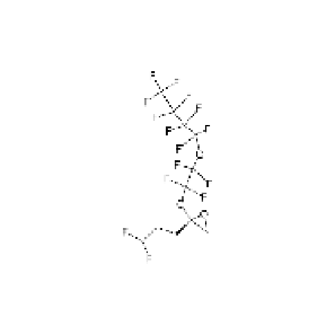 FC(F)C[CH][C@]1(OC(F)(F)C(F)(F)OC(F)(F)C(F)(F)C(F)(F)C(F)(F)F)CO1